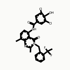 Cc1ccc(NC(=O)c2cc(Cl)c(O)c(Cl)c2)c2c(=O)n(Cc3ccccc3C(C)(F)F)c(C)nc12